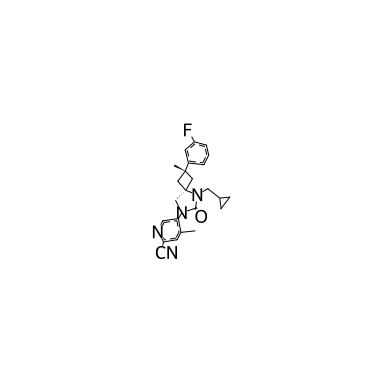 Cc1cc(C#N)ncc1N1C[C@]2(C[C@@](C)(c3cccc(F)c3)C2)N(CC2CC2)C1=O